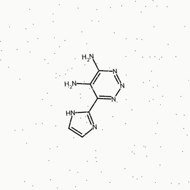 Nc1nnnc(-c2ncc[nH]2)c1N